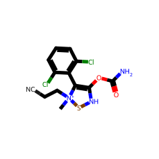 C[N+]1(CCC#N)SNC(OC(N)=O)=C1c1c(Cl)cccc1Cl